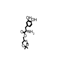 CC1(C)OCC(COC(=O)[C@@H](N)Cc2ccc(O)c(O)c2)SO1